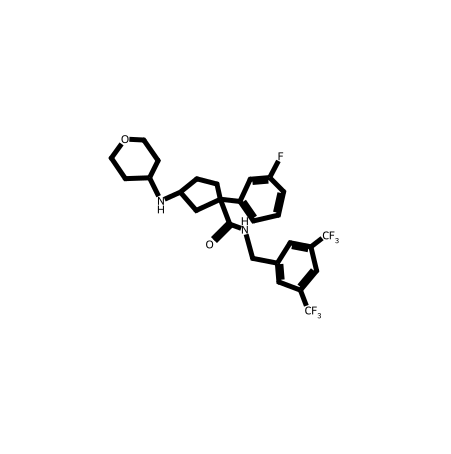 O=C(NCc1cc(C(F)(F)F)cc(C(F)(F)F)c1)C1(c2cccc(F)c2)CCC(NC2CCOCC2)C1